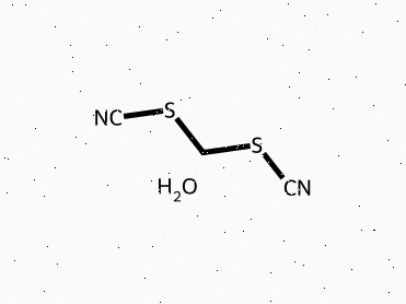 N#CSCSC#N.O